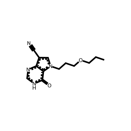 CCCOCCCn1cc(C#N)c2nc[nH]c(=O)c21